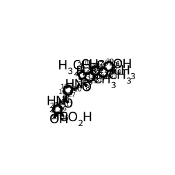 C=C(C)[C@@H]1CC[C@]2(C(=O)NCc3cccc(C(=O)Nc4ccc(O)c(C(=O)O)c4)c3)CC[C@]3(C)C(CCC4[C@@]5(C)CC[C@H](O)C(C)(C)C5CC[C@]43C)C12